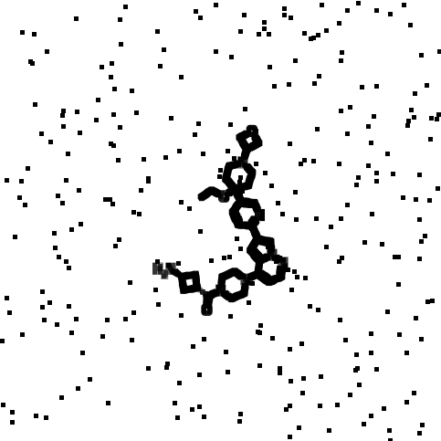 CCOC1(c2ccc(-c3cc4c(N5CCN(C(=O)[C@H]6C[C@H](N)C6)CC5)ccnn4c3)nc2)CCN(C2COC2)CC1